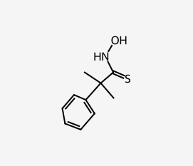 CC(C)(C(=S)NO)c1ccccc1